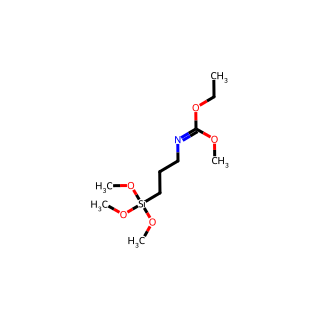 CCOC(=NCCC[Si](OC)(OC)OC)OC